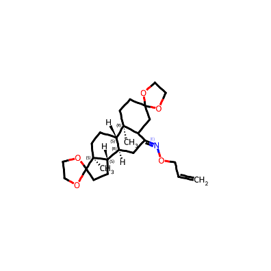 C=CCO/N=C1\C[C@@H]2[C@H](CC[C@@]3(C)[C@H]2CCC32OCCO2)[C@@]2(C)CCC3(CC12)OCCO3